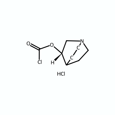 Cl.O=C(Cl)O[C@@H]1CN2CCC1CC2